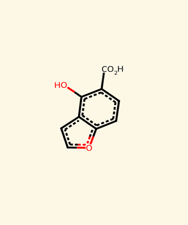 O=C(O)c1ccc2occc2c1O